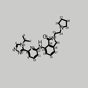 CC(C)n1cnnc1-c1cccc(Nc2cccc3c2C(=O)N(CCN2CCCC2)C3)n1